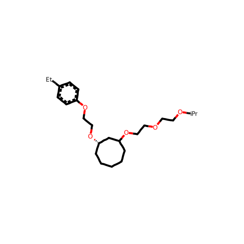 CCc1ccc(OCCO[C@H]2CCCCCC(OCCOCCOC(C)C)C2)cc1